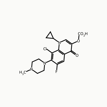 CN1CCN(c2c(F)cc3c(=O)c(OC(=O)O)cn(C4CC4)c3c2Cl)CC1